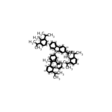 CC(C)c1cccc(C(C)C)c1N.CC(C)c1cccc(C(C)C)c1NC(=N)c1ccc2c3ccccc3n(-c3cccc(-c4nccn4-c4c(C(C)C)cccc4C(C)C)c3)c2c1